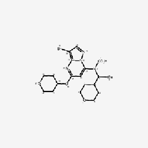 CC(C)(C)C(C1CCOCC1)N(C(=O)O)c1cc(OC2CCOCC2)nc2c(Br)cnn12